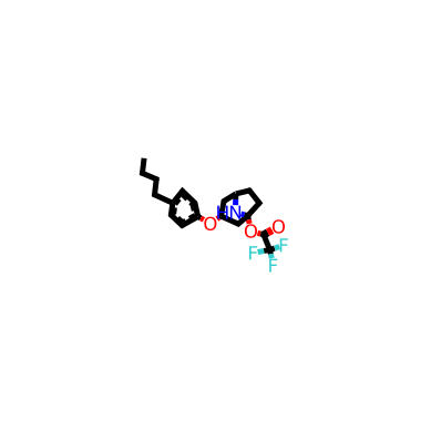 CCCCc1ccc(OC2CC3CCC(OC(=O)C(F)(F)F)(C2)N3)cc1